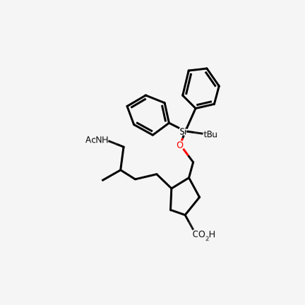 CC(=O)NCC(C)CCC1CC(C(=O)O)CC1CO[Si](c1ccccc1)(c1ccccc1)C(C)(C)C